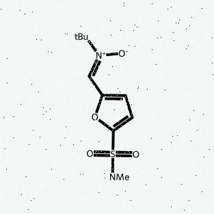 CNS(=O)(=O)c1ccc(C=[N+]([O-])C(C)(C)C)o1